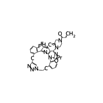 C=CC(=O)N1CCN(c2nc(=O)n3c4nc(c(F)cc24)-c2c(F)cccc2Cc2cn(nn2)CCCc2cccc(C(C)C)c2-3)[C@@H](C)C1